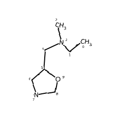 CCN(C)CC1C[N]CO1